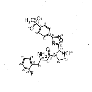 CS(=O)(=O)c1ccc(-c2noc(C3CCCN3C(=O)CC(N)Cc3ccccc3F)n2)cc1.Cl